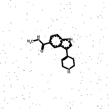 CNC(=O)c1ccc2[nH]cc(C3=CCNCC3)c2c1